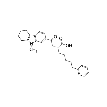 Cn1c2c(c3ccc(C(=O)C[C@@H](CCCCCc4ccccc4)C(=O)O)cc31)CCCC2